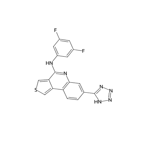 Fc1cc(F)cc(Nc2nc3cc(-c4nnn[nH]4)ccc3c3cscc23)c1